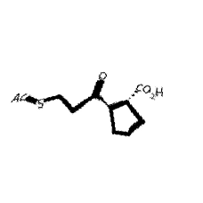 CC(=O)SCCC(=O)[C@@H]1CCC[C@H]1C(=O)O